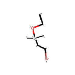 CCO[Si](C)(C)CCBr